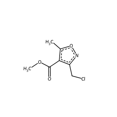 COC(=O)c1c(CCl)noc1C